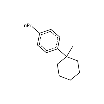 CCCc1ccc(C2(C)CCCCC2)cc1